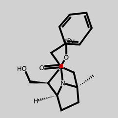 CC(C)(C)OC(=O)N1[C@H]2CC[C@]1(C)CN(Cc1ccccc1)[C@@H]2CO